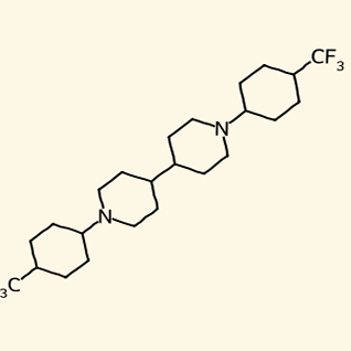 FC(F)(F)C1CCC(N2CCC(C3CCN(C4CCC(C(F)(F)F)CC4)CC3)CC2)CC1